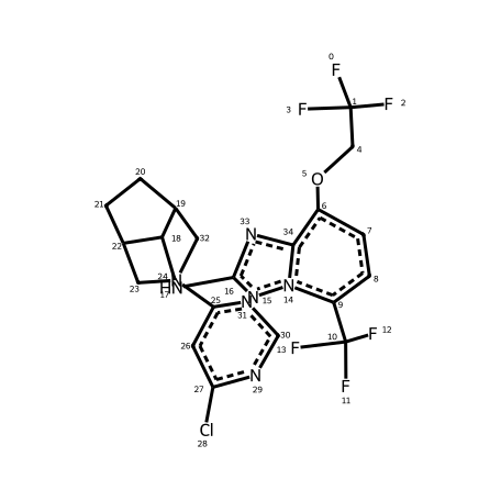 FC(F)(F)COc1ccc(C(F)(F)F)n2nc(NC3C4CCC3CN(c3cc(Cl)ncn3)C4)nc12